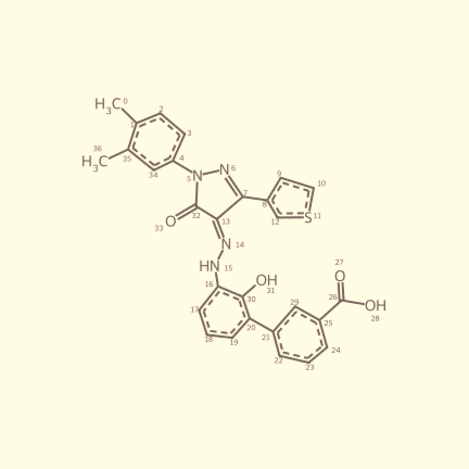 Cc1ccc(N2N=C(c3ccsc3)C(=NNc3cccc(-c4cccc(C(=O)O)c4)c3O)C2=O)cc1C